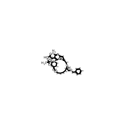 Cc1nc2cc3nn2c(c1[C@H](OC(C)(C)C)C(=O)O)N1CCC(C)(CC1)OCCCC[C@@H](COCc1ccccc1)OC3